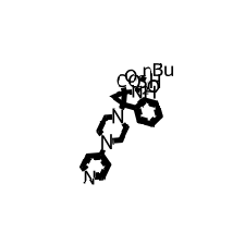 CCCCS(=O)(=O)NC1(C(=O)O)CC1(c1ccccc1)N1CCN(c2ccncc2)CC1